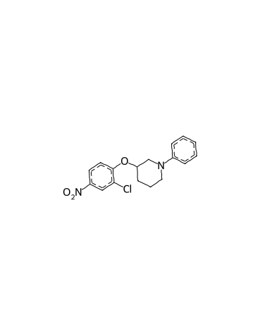 O=[N+]([O-])c1ccc(OC2CCCN(c3ccccc3)C2)c(Cl)c1